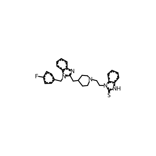 Fc1ccc(Cn2c(CC3CCN(CCn4c(=S)[nH]c5ccccc54)CC3)nc3ccccc32)cc1